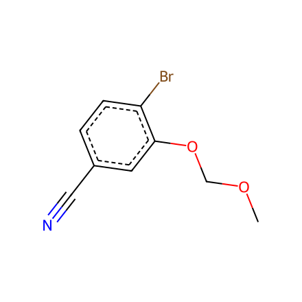 COCOc1cc(C#N)ccc1Br